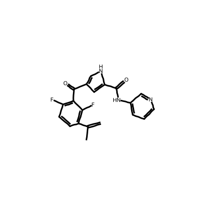 C=C(C)c1ccc(F)c(C(=O)c2c[nH]c(C(=O)Nc3cccnc3)c2)c1F